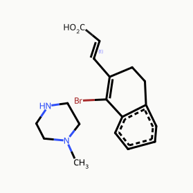 CN1CCNCC1.O=C(O)/C=C/C1=C(Br)c2ccccc2CC1